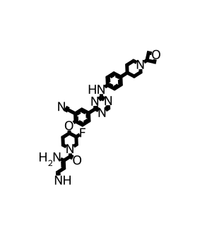 N#Cc1cc(-c2ncnc(Nc3ccc(C4CCN(C5COC5)CC4)cc3)n2)ccc1OC1CCN(C(=O)/C(N)=C/C=N)CC1F